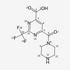 O=C(O)c1cc(C(=O)N2CCNCC2)nc(C(F)(F)F)n1